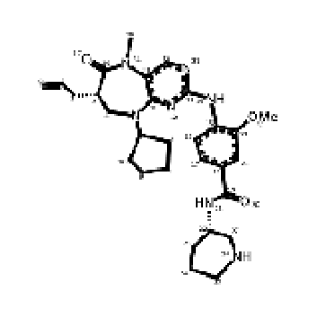 C=CC[C@H]1CN(C2CCCC2)c2nc(Nc3ccc(C(=O)N[C@H]4CCCNC4)cc3OC)ncc2N(C)C1=O